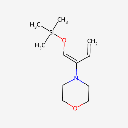 C=CC(=CO[Si](C)(C)C)N1CCOCC1